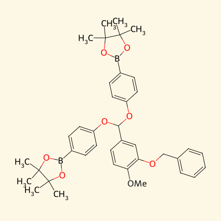 COc1ccc(C(Oc2ccc(B3OC(C)(C)C(C)(C)O3)cc2)Oc2ccc(B3OC(C)(C)C(C)(C)O3)cc2)cc1OCc1ccccc1